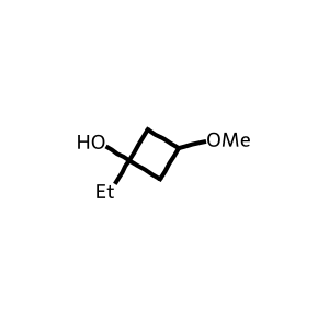 CCC1(O)CC(OC)C1